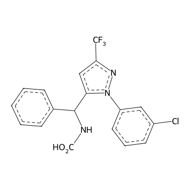 O=C(O)NC(c1ccccc1)c1cc(C(F)(F)F)nn1-c1cccc(Cl)c1